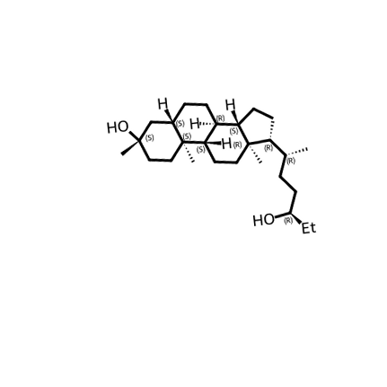 CC[C@@H](O)CC[C@@H](C)[C@H]1CC[C@H]2[C@@H]3CC[C@H]4C[C@@](C)(O)CC[C@]4(C)[C@H]3CC[C@]12C